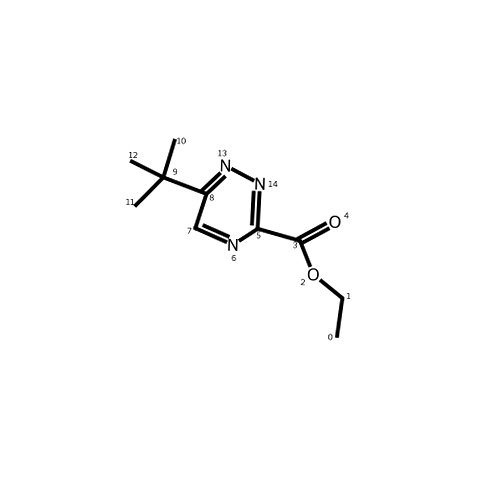 CCOC(=O)c1ncc(C(C)(C)C)nn1